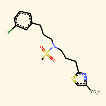 CS(=O)(=O)N(CCCc1cccc(Cl)c1)CCCc1nc(C(=O)O)cs1